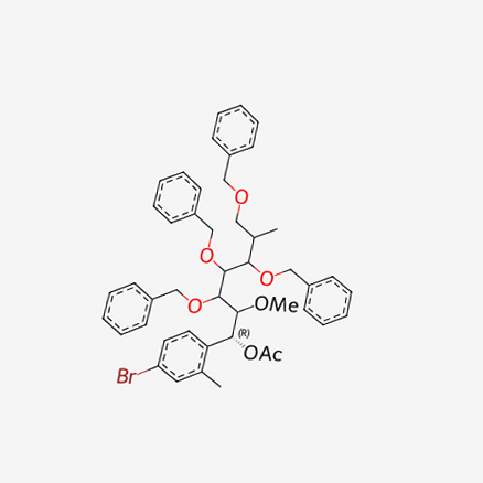 COC(C(OCc1ccccc1)C(OCc1ccccc1)C(OCc1ccccc1)C(C)COCc1ccccc1)[C@H](OC(C)=O)c1ccc(Br)cc1C